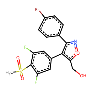 CS(=O)(=O)c1c(F)cc(-c2c(-c3ccc(Br)cc3)noc2CO)cc1F